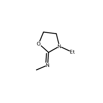 CCN1CCO/C1=N\C